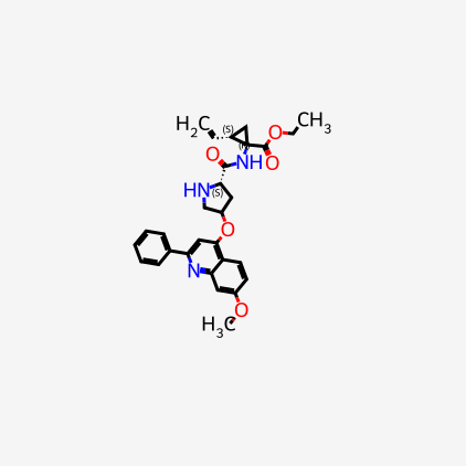 C=C[C@@H]1C[C@]1(NC(=O)[C@@H]1CC(Oc2cc(-c3ccccc3)nc3cc(OC)ccc23)CN1)C(=O)OCC